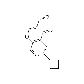 O=Cc1coc2ccc(C3CCC3)cc2c1=O